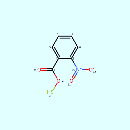 O=C(OS)c1ccccc1[N+](=O)[O-]